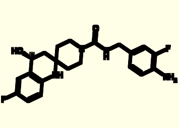 Nc1ccc(CNC(=O)N2CCC3(CC2)C[C@H](O)c2cc(F)ccc2N3)cc1F